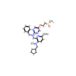 CCN(CC1CCCC1)c1ccc(OC)nc1CN(Cc1ccccc1)c1ncc(OCC[S+](C)[O-])cn1